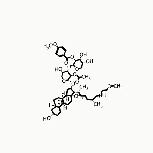 COCCNC[C@H](C)CCC[C@@H](C)[C@H]1[C@@H](O[C@@H]2OC[C@H](O)[C@H](O[C@@H]3OC[C@@H](O)[C@H](O)[C@H]3OC(=O)c3ccc(OC)cc3)[C@H]2OC(C)=O)C[C@H]2[C@@H]3CC[C@H]4C[C@@H](O)CC[C@]4(C)[C@H]3CC[C@]12C